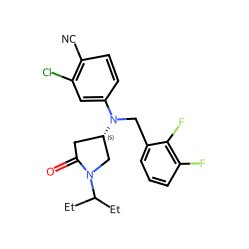 CCC(CC)N1C[C@@H](N(Cc2cccc(F)c2F)c2ccc(C#N)c(Cl)c2)CC1=O